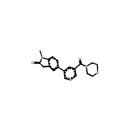 CN1C(=O)Cc2cc(-c3cncc(C(=O)N4CCOCC4)c3)ccc21